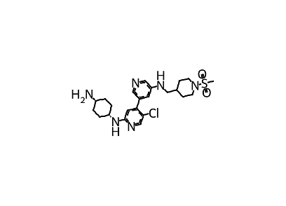 CS(=O)(=O)N1CCC(CNc2cncc(-c3cc(N[C@H]4CC[C@H](N)CC4)ncc3Cl)c2)CC1